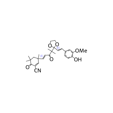 COc1cc(/C=C/C2(C(C)(C)C(=O)/C=C/C3(C)C=C(C#N)C(=O)C(C)(C)C3)OCCO2)ccc1O